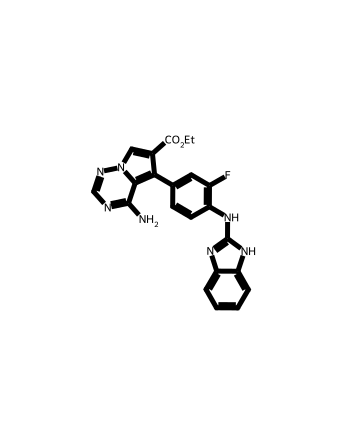 CCOC(=O)c1cn2ncnc(N)c2c1-c1ccc(Nc2nc3ccccc3[nH]2)c(F)c1